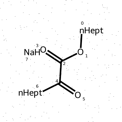 CCCCCCCOC(=O)C(=O)CCCCCCC.[NaH]